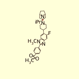 CC(C)CN1C2CCC1CC(N1CCC(c3cc4c(cc3F)nc(-c3ccc(S(C)(=O)=O)cc3)n4C)CC1)C2